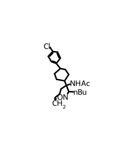 C=CCCC(NC(C)=O)(C1CCC(c2ccc(Cl)cc2)CC1)C(CCCC)N=O